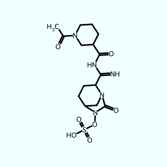 CC(=O)N1CCCC(C(=O)NC(=N)C2CCC3CN2C(=O)N3OS(=O)(=O)O)C1